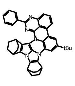 CC(C)(C)c1cc2c3c(c1)-n1c4c(n5c6c(c(c15)B3c1nc(-c3ccccc3)nc3cccc-2c13)C1CCC6CC1)C1CCC4CC1